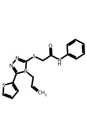 C=CCn1c(SCC(=O)Nc2ccccc2)nnc1-c1cccs1